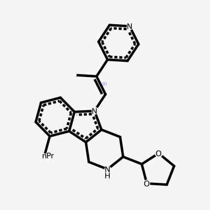 CCCc1cccc2c1c1c(n2/C=C(\C)c2ccncc2)CC(C2OCCO2)NC1